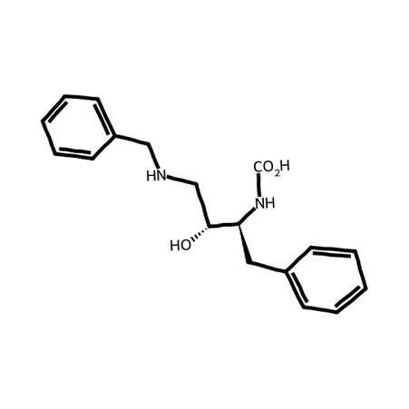 O=C(O)N[C@@H](Cc1ccccc1)[C@H](O)CNCc1ccccc1